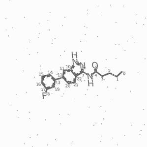 CCCCC(=O)Nc1n[nH]c2cc(-c3cccc(F)c3)ccc12